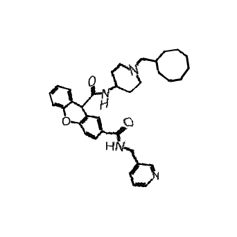 O=C(NCc1cccnc1)c1ccc2c(c1)C(C(=O)NC1CCN(CC3CCCCCCC3)CC1)c1ccccc1O2